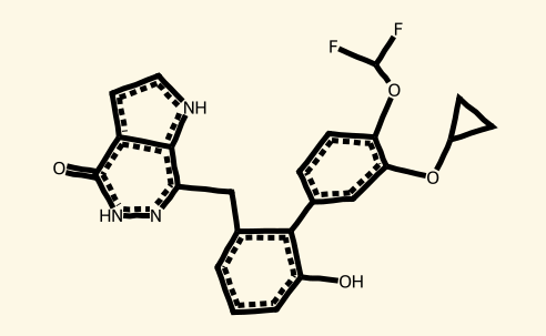 O=c1[nH]nc(Cc2cccc(O)c2-c2ccc(OC(F)F)c(OC3CC3)c2)c2[nH]ccc12